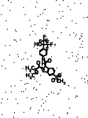 CO[C@H](C)C(=O)N1Cc2cc(S(C)(=O)=O)ccc2C1C(=O)Nc1ccc(C(O)(C(F)(F)F)C(F)(F)F)cc1